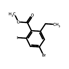 CCc1cc(Br)cc(I)c1C(=O)OC